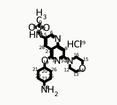 CS(=O)(=O)Nc1cnc2cc(N3CCOCC3)nc(OC3CCC(N)CC3)c2c1.Cl